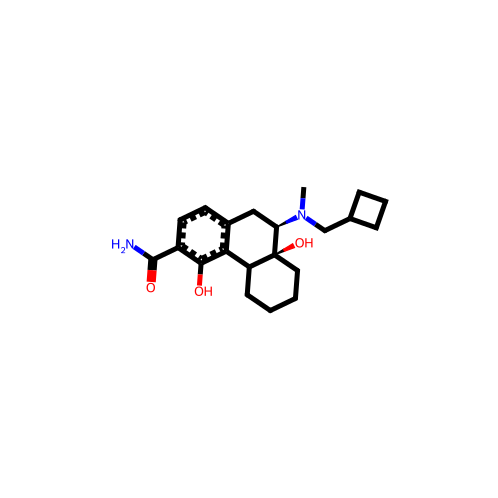 CN(CC1CCC1)[C@@H]1Cc2ccc(C(N)=O)c(O)c2C2CCCC[C@]21O